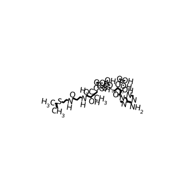 CC=C(C)SCCNC(=O)CCNC(=O)C(O)C(C)(C)COP(=O)(O)OP(=O)(O)OC[C@H]1O[C@@H](n2cnc3c(N)ncnc32)[C@H](O)[C@@H]1OP(=O)(O)O